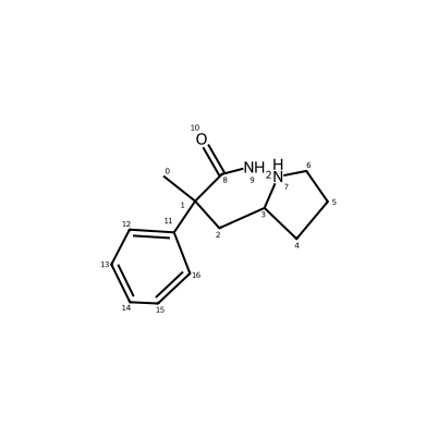 CC(CC1CCCN1)(C(N)=O)c1ccccc1